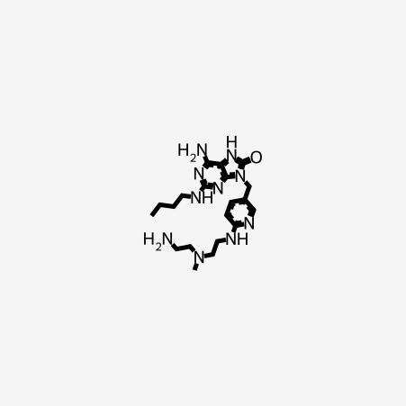 CCCCNc1nc(N)c2[nH]c(=O)n(Cc3ccc(NCCN(C)CCN)nc3)c2n1